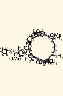 CO[C@H]1C[C@@H]2CC[C@@H](C)[C@@](O)(O2)C(=O)C(=O)N2CCCC[C@H]2C(=O)O[C@H](C(C)C[C@@H]2CC[C@@H](OCCCc3ccccc3)[C@H](OC)C2)CC(=O)[C@H](C)/C=C(\C)[C@@H](O)[C@@H](OC)C(=O)[C@H](C)C[C@H](C)/C=C/C=C/C=C/1C